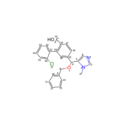 Cn1cncc1C(OCc1ccccc1)c1ccc(C(=O)O)c(-c2ccccc2Cl)c1